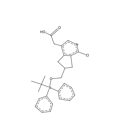 CC(C)(C)[Si](OCC1Cc2c(CC(=O)O)cnc(Cl)c2C1)(c1ccccc1)c1ccccc1